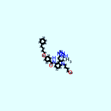 Cc1c(Cc2nnn[nH]2)c2c(NC(=O)c3ccc(OCCCCc4ccccc4)cc3)cccc2n1CCCC=O